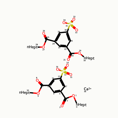 CCCCCCCOC(=O)c1cc(C(=O)OCCCCCCC)cc(S(=O)(=O)[O-])c1.CCCCCCCOC(=O)c1cc(C(=O)OCCCCCCC)cc(S(=O)(=O)[O-])c1.[Ca+2]